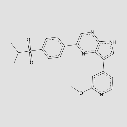 COc1cc(-c2c[nH]c3ncc(-c4ccc(S(=O)(=O)C(C)C)cc4)nc23)ccn1